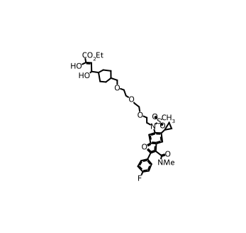 CCOC(=O)/C(O)=C/C(O)C1CCC(COCCOCCOCCN(c2cc3oc(-c4ccc(F)cc4)c(C(=O)NC)c3cc2C2CC2)S(C)(=O)=O)CC1